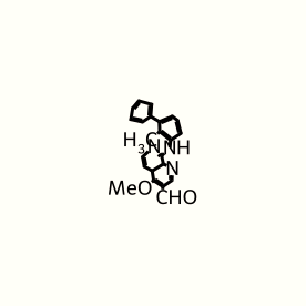 COC1=C(C=O)C=NC2C(Nc3cccc(-c4ccccc4)c3C)=NC=CC12